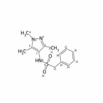 Cc1nn(C)c(C)c1NS(=O)(=O)Cc1ccccc1